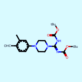 Cc1cc(N2CCN(C(=NC(=O)OC(C)(C)C)NC(=O)OC(C)(C)C)CC2)ccc1C=O